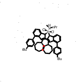 CCC[SiH](C)[Zr]([Cl])([Cl])([CH]1C(CC2CCCCCC2)=Cc2c(-c3ccc(C(C)CC)cc3)cccc21)[CH]1C(CC2CCCCCC2)=Cc2c(-c3ccc(C(C)CC)cc3)cccc21